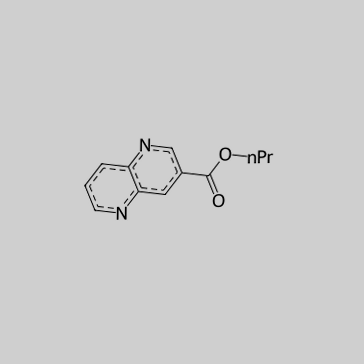 [CH2]CCOC(=O)c1cnc2cccnc2c1